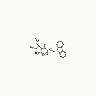 C#CC[C@@](C)(COC)[C@@H](NC(=O)OCC1c2ccccc2-c2ccccc21)C(=O)O